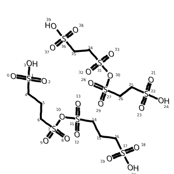 O=S(=O)(O)CCCS(=O)(=O)OS(=O)(=O)CCCS(=O)(=O)O.O=S(=O)(O)CCS(=O)(=O)OS(=O)(=O)CCS(=O)(=O)O